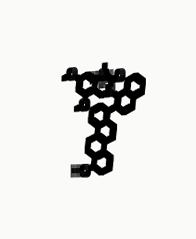 COc1cc(OC)c(CN(C(N)=O)c2c(-c3cccc4c5c(ccc34)C3=C(CC5)C(O)CC=C3)ccc3ccccc23)c(OC)c1